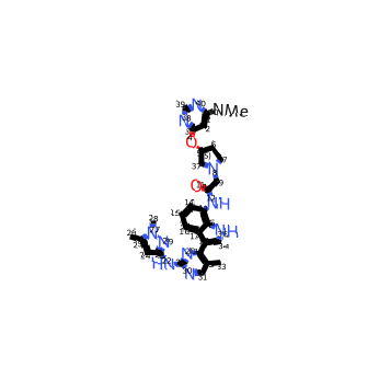 CNc1cc(O[C@H]2CCN(CC(=O)Nc3cccc4c(-c5nc(Nc6cc(C)n(C)n6)ncc5C)c[nH]c34)C2)ncn1